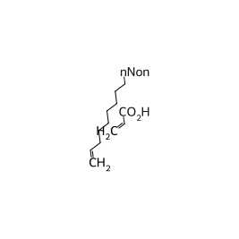 C=CC(=O)O.C=CCCCCCCCCCCCCCCCC